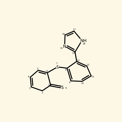 S=C1CC=CC=C1Sc1ccccc1-c1ncc[nH]1